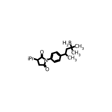 BC(C)(C)CC(C)c1ccc(N2C(=O)CC(C(C)C)C2=O)cc1